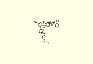 N#Cc1ccc(Oc2ccc(NS(=O)(=O)c3ccccc3Cl)cc2F)c(-c2ccnc(NC3CCC(N)CC3)n2)c1